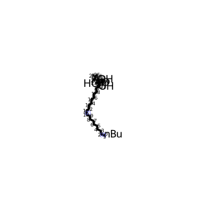 CCCC/C=C\CCCCCCC/C=C\CCCCCCCCCC(O)(C[N+](C)(C)C)P(=O)(O)O